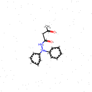 CC(=O)CC(=O)N[N+](c1ccccc1)c1ccccc1